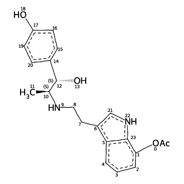 CC(=O)Oc1cccc2c(CCN[C@@H](C)[C@@H](O)c3ccc(O)cc3)c[nH]c12